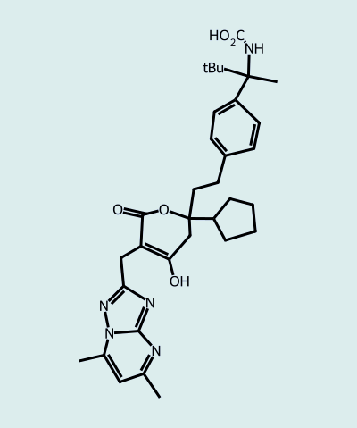 Cc1cc(C)n2nc(CC3=C(O)CC(CCc4ccc(C(C)(NC(=O)O)C(C)(C)C)cc4)(C4CCCC4)OC3=O)nc2n1